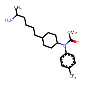 COC(=O)N(c1ccc(C(F)(F)F)cc1)C1CCC(CCCCC(C)N)CC1